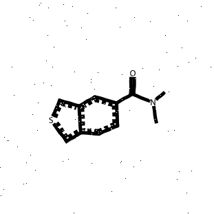 CN(C)C(=O)c1ccc2[c]scc2c1